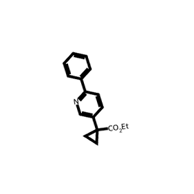 CCOC(=O)C1(c2ccc(-c3ccccc3)nc2)CC1